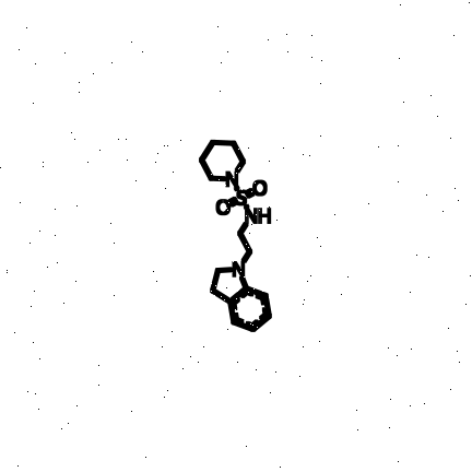 O=S(=O)(NCCN1CCc2ccccc21)N1CCCCC1